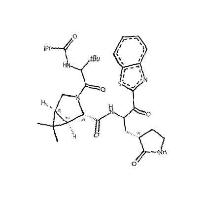 CC(C)C(=O)NC(C(=O)N1C[C@H]2[C@@H]([C@H]1C(=O)NC(C[C@@H]1CCNC1=O)C(=O)c1nc3ccccc3s1)C2(C)C)C(C)(C)C